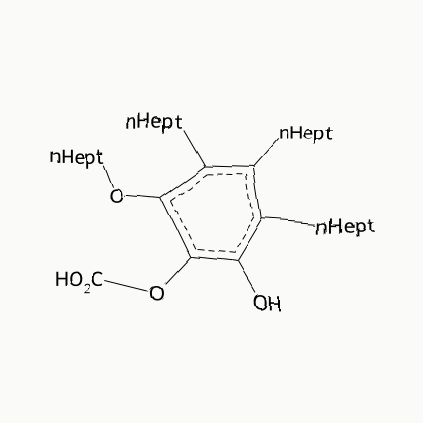 CCCCCCCOc1c(CCCCCCC)c(CCCCCCC)c(CCCCCCC)c(O)c1OC(=O)O